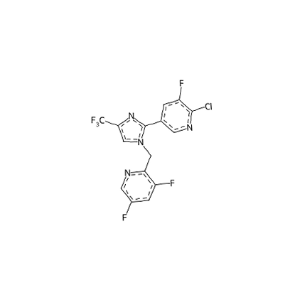 Fc1cnc(Cn2cc(C(F)(F)F)nc2-c2cnc(Cl)c(F)c2)c(F)c1